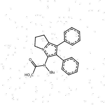 CC(C)(C)N(C(=O)C(=O)O)c1c(-c2ccccc2)c(-c2ccccc2)c2n1CCC2